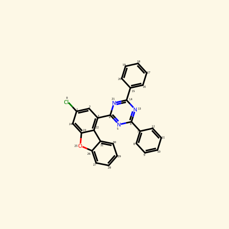 Clc1cc(-c2nc(-c3ccccc3)nc(-c3ccccc3)n2)c2c(c1)oc1ccccc12